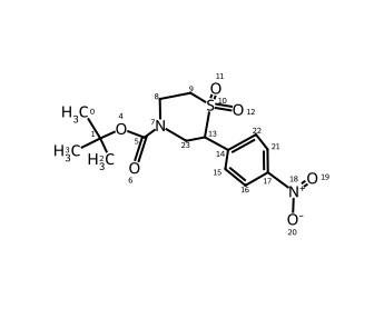 CC(C)(C)OC(=O)N1CCS(=O)(=O)C(c2ccc([N+](=O)[O-])cc2)C1